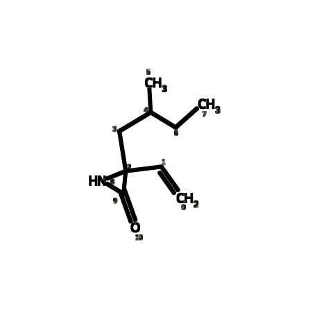 C=CC1(CC(C)CC)NC1=O